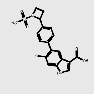 CS(=O)(=O)N1CCC1c1ccc(-c2cc3c(C(=O)O)c[nH]c3cc2Cl)cc1